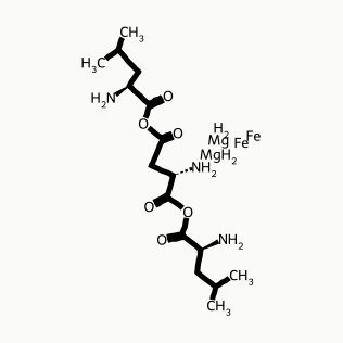 CC(C)C[C@H](N)C(=O)OC(=O)C[C@H](N)C(=O)OC(=O)[C@@H](N)CC(C)C.[Fe].[Fe].[MgH2].[MgH2]